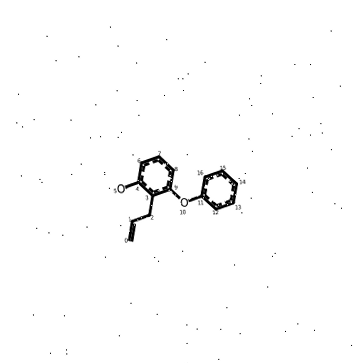 C=CCc1c([O])cccc1Oc1ccccc1